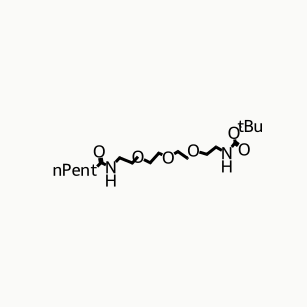 CCCCCC(=O)NCCOCCOCCOCCNC(=O)OC(C)(C)C